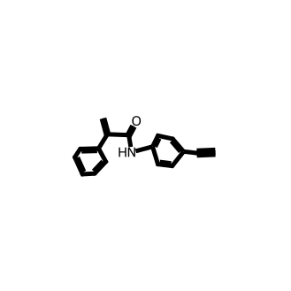 C#Cc1ccc(NC(=O)C(=C)c2ccccc2)cc1